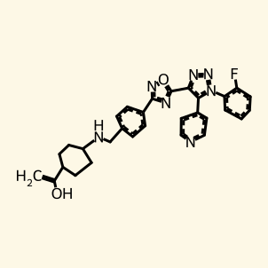 C=C(O)C1CCC(NCc2ccc(-c3noc(-c4nnn(-c5ccccc5F)c4-c4ccncc4)n3)cc2)CC1